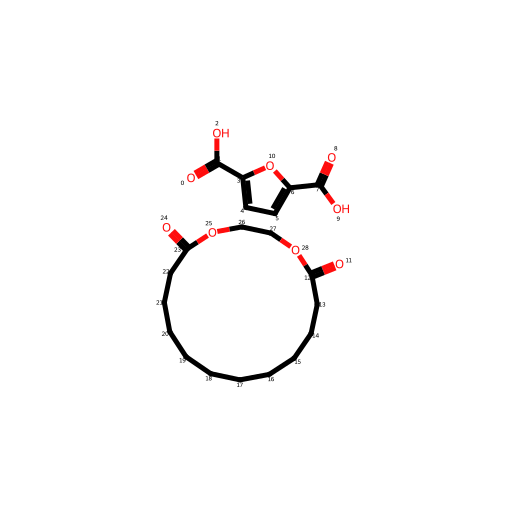 O=C(O)c1ccc(C(=O)O)o1.O=C1CCCCCCCCCCC(=O)OCCO1